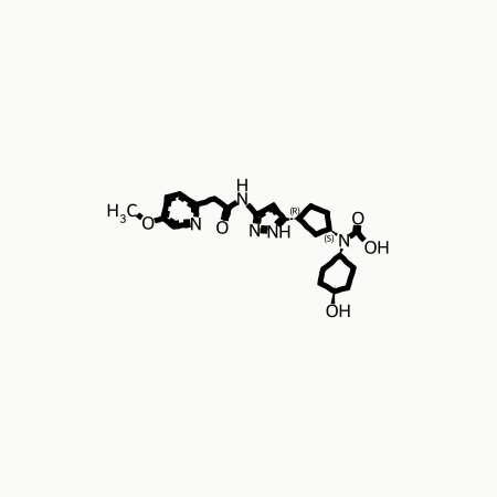 COc1ccc(CC(=O)Nc2cc([C@@H]3CC[C@H](N(C(=O)O)[C@H]4CC[C@H](O)CC4)C3)[nH]n2)nc1